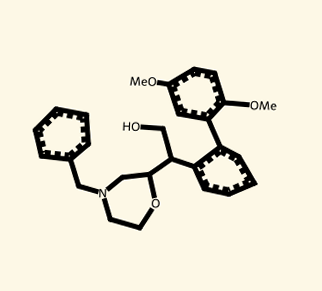 COc1ccc(OC)c(-c2ccccc2C(CO)C2CN(Cc3ccccc3)CCO2)c1